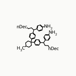 CCCCCCCCCCCCC(c1ccc(N)cc1)c1ccc(C2(c3ccc(C(CCCCCCCCCCCC)c4ccc(N)cc4)cc3)CCC(C)CC2)cc1